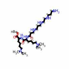 CCCCOC(=O)C(CCCCN(C)C)NC(=O)C(CCCCN(C)C)NC(=O)CCNCCCNCCNCCCN